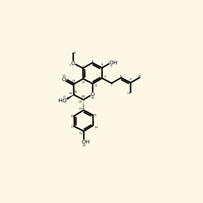 COc1cc(O)c(CC=C(C)C)c2c1C(=O)[C@H](O)[C@@H](c1ccc(O)cc1)O2